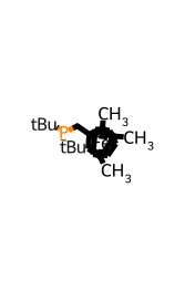 CC(C)(C)P(C[C]12[CH]3[C]4(C)[C]5(C)[C]1(C)[Fe]34251678[CH]2[CH]1[CH]6[CH]7[CH]28)C(C)(C)C